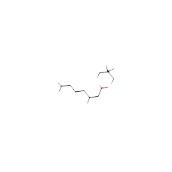 CC(C)CCCC(C)CC1OCC(C)(C)CO1